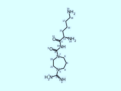 N=C(N)N1CCCN(C(=O)NC(=O)[C@H](N)CCCCN)CC1